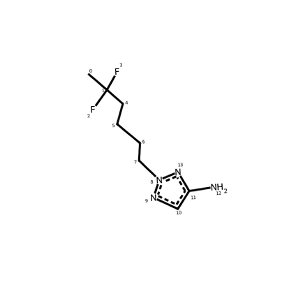 CC(F)(F)CCCCn1ncc(N)n1